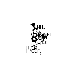 CCOc1nn(CC)cc1S(=O)(=O)N1C[C@H](CC(C(N)=O)C2CC2)Oc2ccc(NC(=O)OC(C)(C)C(F)(F)F)cc21